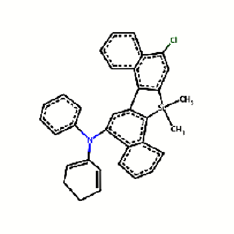 C[Si]1(C)c2cc(Cl)c3ccccc3c2-c2cc(N(C3=CCCC=C3)c3ccccc3)c3ccccc3c21